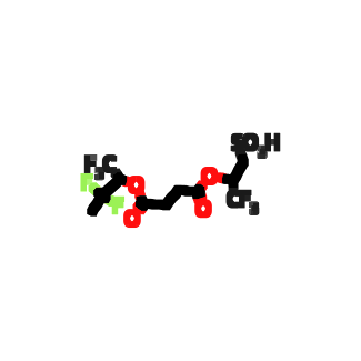 CC(F)(F)C(OC(=O)CCC(=O)OC(CS(=O)(=O)O)C(F)(F)F)C(F)(F)F